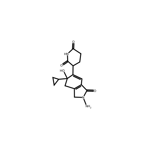 NN1CC2=C(C=C(C3CCC(=O)NC3=O)C(O)(C3CC3)C2)C1=O